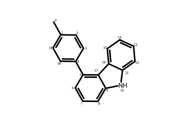 Cc1ccc(-c2cccc3[nH]c4ccccc4c23)cc1